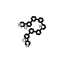 c1cc(-c2cccc(-c3cccc(-c4cccc(-c5cccc(-c6ccc7oc8cnccc8c7c6)c5)c4)n3)c2)cc(-c2ccc3oc4cnccc4c3c2)c1